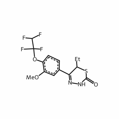 CCC1SC(=O)NN=C1c1ccc(OC(F)(F)C(F)F)c(OC)c1